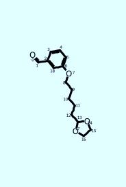 O=Cc1cccc(OCCCCCC2OCCO2)c1